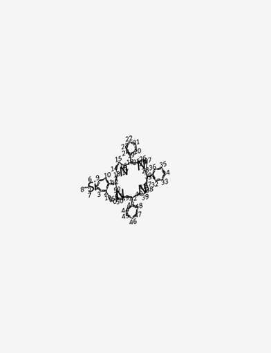 C#Cc1cc([Si](C)(C)C)ccc1C1=C2C=CC(=N2)C(c2ccccc2)=C2C=CC(=N2)C(c2ccccc2)=C2C=CC(=N2)C(c2ccccc2)=C2C=CC1=N2